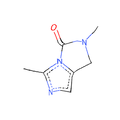 Cc1ncc2n1C(=O)N(C)C2